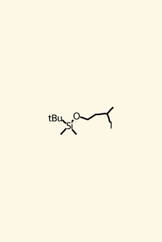 CC(I)CCO[Si](C)(C)C(C)(C)C